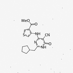 COC(=O)c1cscc1Nc1nc(CC2CCCC2)[nH]c(=O)c1C#N